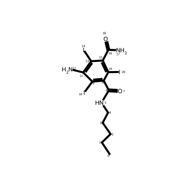 CCCCCNC(=O)c1c(I)c(N)c(I)c(C(N)=O)c1I